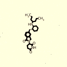 CCCC(CCC)NC1CCCC[C@@H]1Cc1ccc2c(c1)CN(C1CCC(=O)NC1=O)C2=O